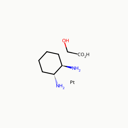 N[C@@H]1CCCC[C@H]1N.O=C(O)CO.[Pt]